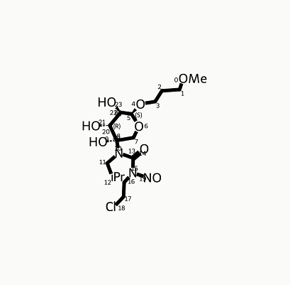 COCCCO[C@H]1OC[C@@](O)(N(CC(C)C)C(=O)N(CCCl)N=O)[C@H](O)[C@H]1O